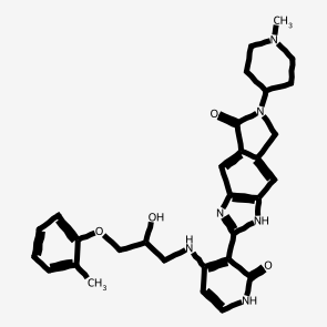 Cc1ccccc1OCC(O)CNc1cc[nH]c(=O)c1-c1nc2cc3c(cc2[nH]1)CN(C1CCN(C)CC1)C3=O